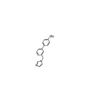 CC(C)(C)c1ccc(-c2cccc(Cn3ccnc3)c2)cc1